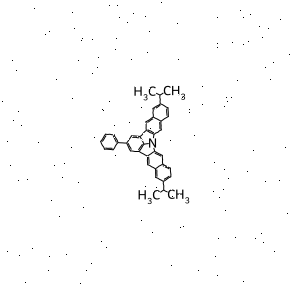 CC(C)c1ccc2cc3c(cc2c1)c1cc(-c2ccccc2)cc2c4cc5cc(C(C)C)ccc5cc4n3c12